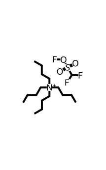 CCCC[N+](CCCC)(CCCC)CCCC.O=S(=O)(OF)C(F)F